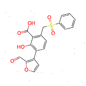 O=Cc1occc1-c1ccc(CS(=O)(=O)c2ccccc2)c(C(=O)O)c1O